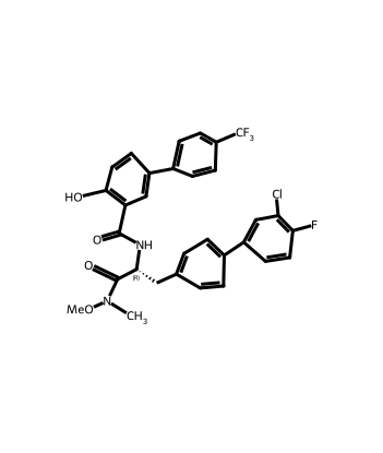 CON(C)C(=O)[C@@H](Cc1ccc(-c2ccc(F)c(Cl)c2)cc1)NC(=O)c1cc(-c2ccc(C(F)(F)F)cc2)ccc1O